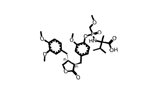 COCP(=O)(NC(C)(C(=O)O)C(C)C)Oc1ccc(C[C@H]2C(=O)OC[C@@H]2Cc2ccc(OC)c(OC)c2)cc1OC